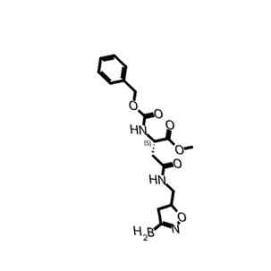 BC1=NOC(CNC(=O)C[C@H](NC(=O)OCc2ccccc2)C(=O)OC)C1